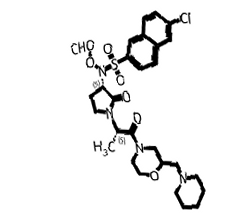 C[C@@H](C(=O)N1CCOC(CN2CCCCC2)C1)N1CC[C@H](N(OC=O)S(=O)(=O)c2ccc3cc(Cl)ccc3c2)C1=O